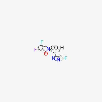 O=C(O)C(CCc1ncn2c1C[C@@H](F)C2)N1Cc2c(F)cc(I)cc2C1=O